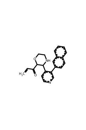 C=CC(=O)C1OCCNC1c1ccncc1-c1ccc2ccccc2c1